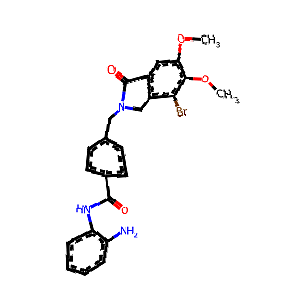 COc1cc2c(c(Br)c1OC)CN(Cc1ccc(C(=O)Nc3ccccc3N)cc1)C2=O